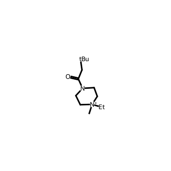 CC[N+]1(C)CCN(C(=O)CC(C)(C)C)CC1